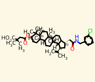 C=C(C)[C@@H]1C[C@@H](CC(=O)NCc2cccc(Cl)c2)C2CC[C@]3(C)[C@H](CC[C@@H]4[C@@]5(C)CC[C@H](OC(=O)CC(C)(C)C(=O)O)C(C)(C)[C@@H]5CC[C@]43C)[C@H]21